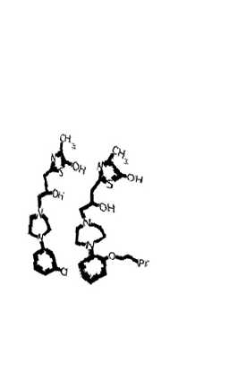 Cc1nc(CC(O)CN2CCN(c3cccc(Cl)c3)CC2)sc1O.Cc1nc(CC(O)CN2CCN(c3ccccc3OCCC(C)C)CC2)sc1O